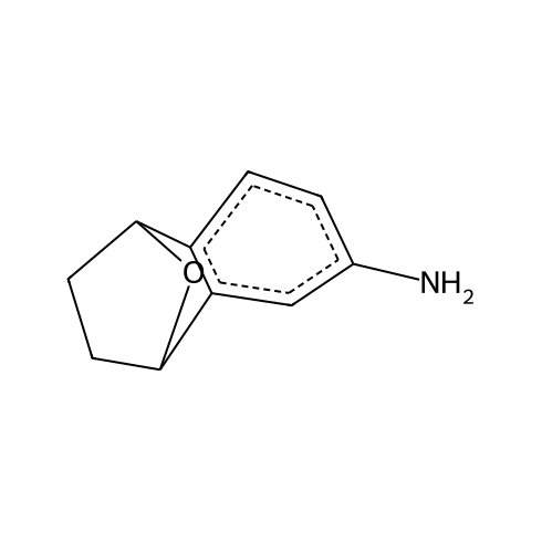 Nc1ccc2c(c1)C1CCC2O1